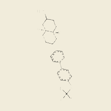 CC1CC[C@@H]2C[C@H](c3ccc(-c4ccc(OC(F)(F)F)cc4)cc3)CC[C@@H]2C1